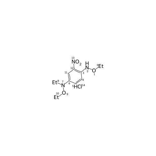 CCONc1ccc(N(CC)OCC)cc1[N+](=O)[O-].Cl